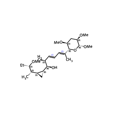 CC[C@H](OC)[C@@H](C)[C@@H]1C[C@H]1[C@H](O)[C@@H](C)/C=C/C=C(\C)[C@H]1O[C@@H](OC)[C@H](OC)C[C@@H]1OC